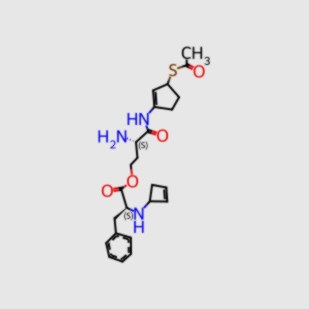 CC(=O)SC1C=C(NC(=O)[C@@H](N)CCOC(=O)[C@H](Cc2ccccc2)NC2C=CC2)CC1